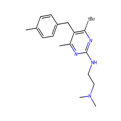 Cc1ccc(Cc2c(C)nc(NCCN(C)C)nc2C(C)(C)C)cc1